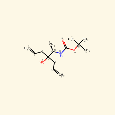 C=CCC(O)(CC=C)[C@@H](C)NC(=O)OC(C)(C)C